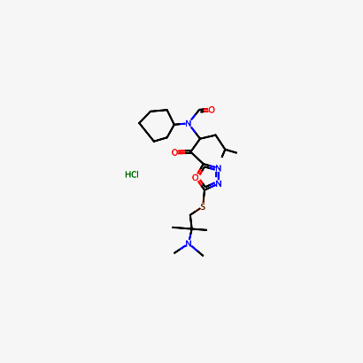 CC(C)CC(C(=O)c1nnc(SCC(C)(C)N(C)C)o1)N(C=O)C1CCCCC1.Cl